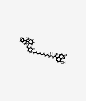 O=C(OCC1CCN(CCCCCCCCCNC[C@H](O)c2ccc(O)c3[nH]c(=O)ccc23)CC1)C(O)(c1ccsc1)C1CCCCC1